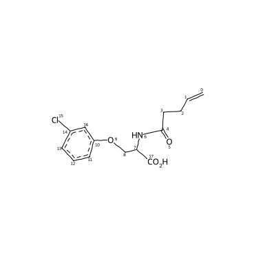 C=CCCC(=O)NC(COc1cccc(Cl)c1)C(=O)O